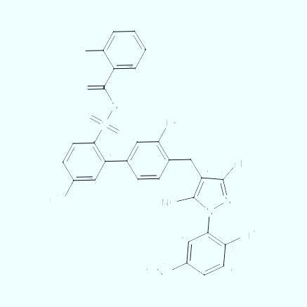 CCCc1ccc(S(=O)(=O)NC(=O)c2ccccc2F)c(-c2ccc(Cc3c(CCC)nn(-c4cc(NC(C)=O)ccc4Cl)c3C#N)c(F)c2)c1